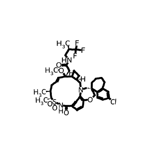 CO[C@@]1(CC(=O)NC[C@@H](C)C(F)(F)F)/C=C/C[C@H](C)[C@@H](C)S(=O)(=O)NC(=O)c2ccc3c(c2)N(C[C@@H]2CC[C@H]21)C[C@@]1(CCCCc2cc(Cl)ccc21)CO3